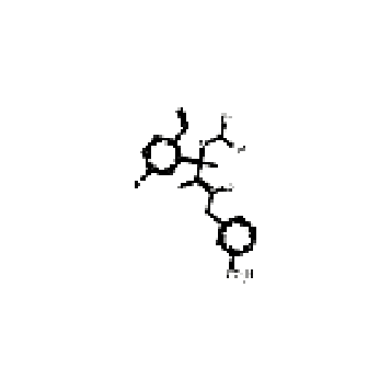 C=Cc1ccc(F)cc1C(C)(OC(CC)CCC)C(C)=C(O)Cc1cccc(C(=O)O)c1